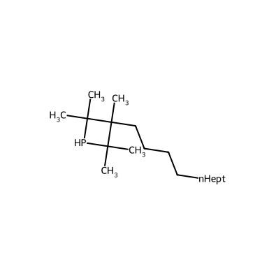 CCCCCCCCCCCC1(C)C(C)(C)PC1(C)C